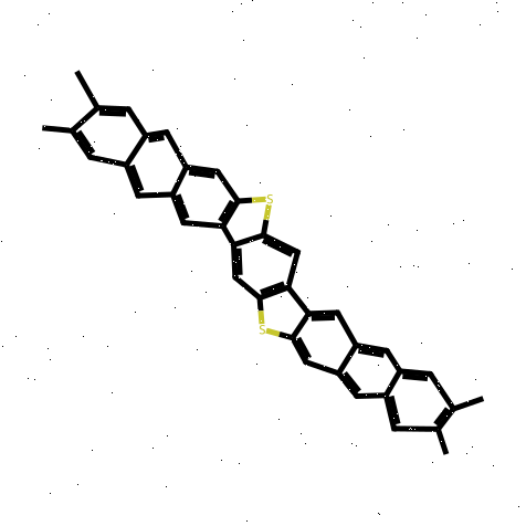 Cc1cc2cc3cc4sc5cc6c(cc5c4cc3cc2cc1C)sc1cc2cc3cc(C)c(C)cc3cc2cc16